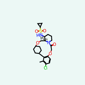 Cc1c(Cl)ccc2c1C1CCC(CC1)OC[C@H]1C(NS(=O)(=O)C3CC3)CCCN1C(=O)CO2